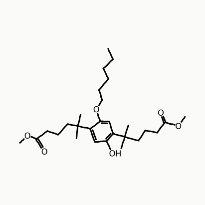 CCCCCCOc1cc(C(C)(C)CCCC(=O)OC)c(O)cc1C(C)(C)CCCC(=O)OC